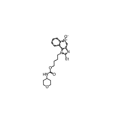 CCc1nc2c[n+]([O-])c3ccccc3c2n1CCCCOC(=O)NC1CCOCC1